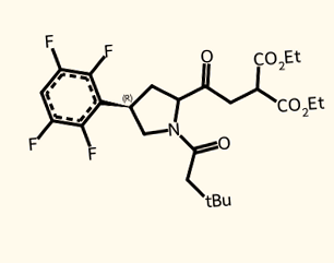 CCOC(=O)C(CC(=O)C1C[C@H](c2c(F)c(F)cc(F)c2F)CN1C(=O)CC(C)(C)C)C(=O)OCC